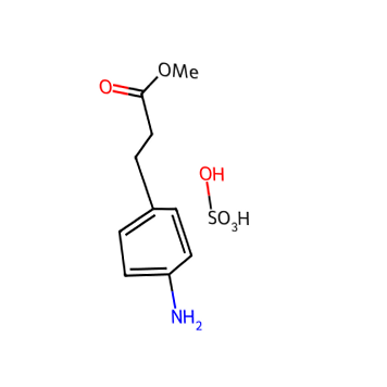 COC(=O)CCc1ccc(N)cc1.O=S(=O)(O)O